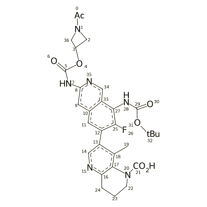 CC(=O)N1CC(OC(=O)Nc2cc3cc(-c4cnc5c(c4C)N(C(=O)O)CCC5)c(F)c(NC(=O)OC(C)(C)C)c3cn2)C1